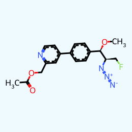 CO[C@H](c1ccc(-c2ccnc(COC(C)=O)c2)cc1)[C@@H](CF)N=[N+]=[N-]